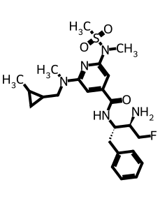 CC1CC1CN(C)c1cc(C(=O)N[C@@H](Cc2ccccc2)[C@@H](N)CF)cc(N(C)S(C)(=O)=O)n1